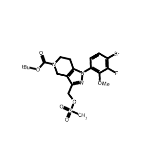 COc1c(-n2nc(COS(C)(=O)=O)c3c2CCN(C(=O)OC(C)(C)C)C3)ccc(Br)c1F